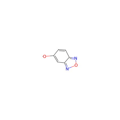 [O]c1ccc2nonc2c1